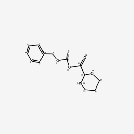 O=C(OCc1ccccc1)OC(=O)C1NCCCO1